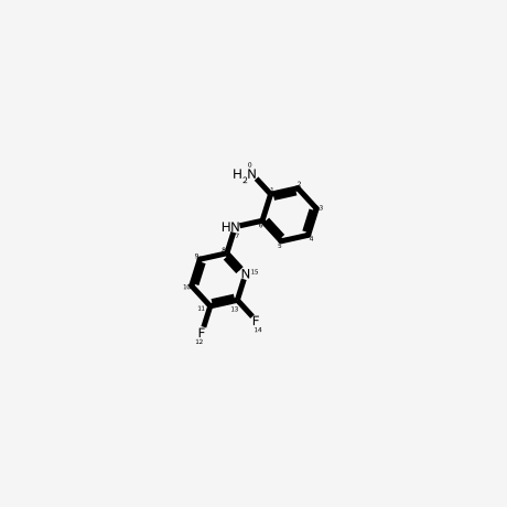 Nc1ccccc1Nc1ccc(F)c(F)n1